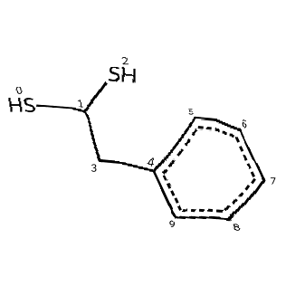 SC(S)Cc1ccccc1